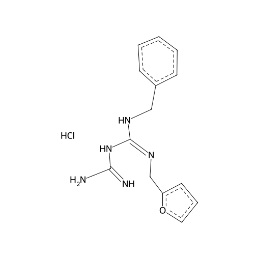 Cl.N=C(N)NC(=NCc1ccco1)NCc1ccccc1